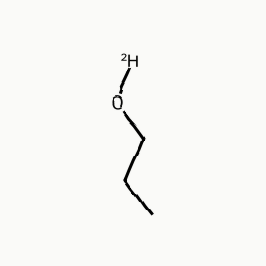 [2H]OCCC